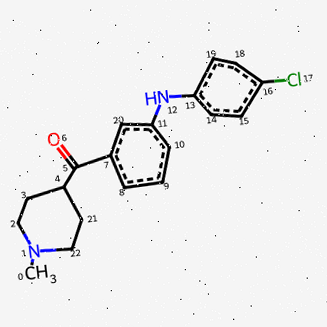 CN1CCC(C(=O)c2cccc(Nc3ccc(Cl)cc3)c2)CC1